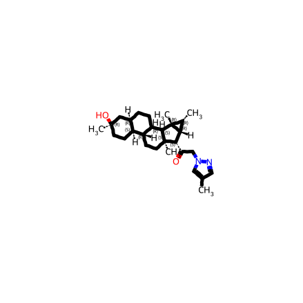 Cc1cnn(CC(=O)[C@H]2[C@H]3[C@@H](C)[C@@]3(C)[C@H]3[C@@H]4CC[C@@H]5C[C@](C)(O)CC[C@@H]5[C@H]4CC[C@]23C)c1